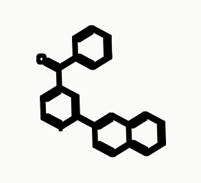 O=C(c1ccccc1)c1cc[c]c(-c2ccc3ccccc3c2)c1